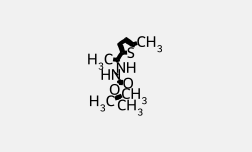 Cc1ccc(C(C)NNC(=O)OC(C)(C)C)s1